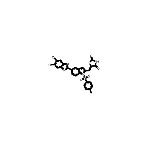 Cc1ccc(S(=O)(=O)n2c(C=C3SC(=O)NC3=O)cc3cc(-c4nc5cc(Cl)c(Cl)cc5[nH]4)ccc32)cc1